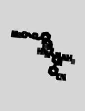 COCCOCc1cccc(CN/C=C(\N=N)c2cc(-c3cccc(C#N)c3)nc(N)n2)n1